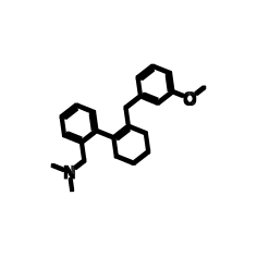 COc1cccc(CC2=C(c3ccccc3CN(C)C)CCCC2)c1